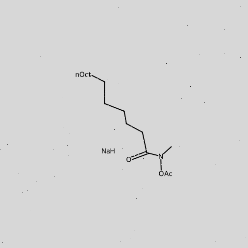 CCCCCCCCCCCCCC(=O)N(C)OC(C)=O.[NaH]